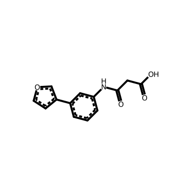 O=C(O)CC(=O)Nc1cccc(-c2ccoc2)c1